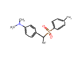 [C-]#[N+]C(c1ccc(N(C)C)cc1)S(=O)(=O)c1ccc(C)cc1